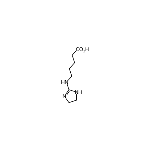 O=C(O)CCCCNC1=NCCN1